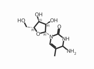 CC1=CN([C@@H]2O[C@H](CO)[C@@H](O)[C@H]2O)C(=O)NC1N